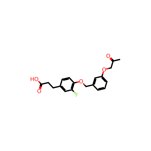 CC(=O)COc1cccc(COc2ccc(CCC(=O)O)cc2F)c1